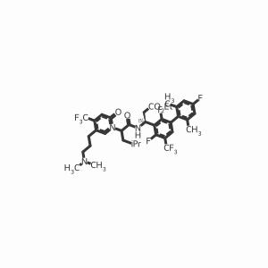 CCOC(=O)C[C@H](NC(=O)C(CC(C)C)n1cc(CCCN(C)C)c(C(F)(F)F)cc1=O)c1c(F)c(-c2c(C)cc(F)cc2C)cc(C(F)(F)F)c1F